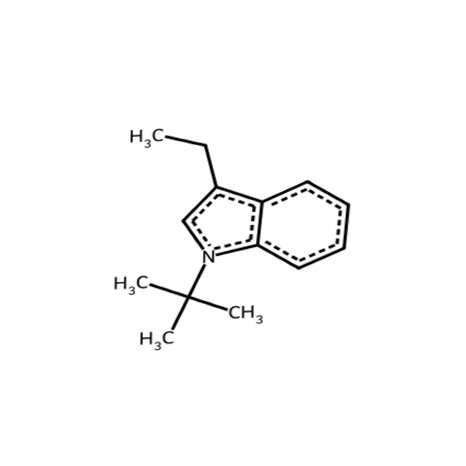 CCc1cn(C(C)(C)C)c2ccccc12